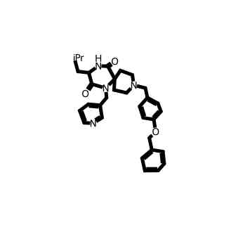 CC(C)CC1NC(=O)C2(CCN(Cc3ccc(OCc4ccccc4)cc3)CC2)N(Cc2cccnc2)C1=O